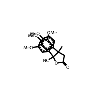 COc1ccc(C2(C)CC(=O)OC2(C#N)c2cc(OC)c(OC)c(OC)c2)cc1